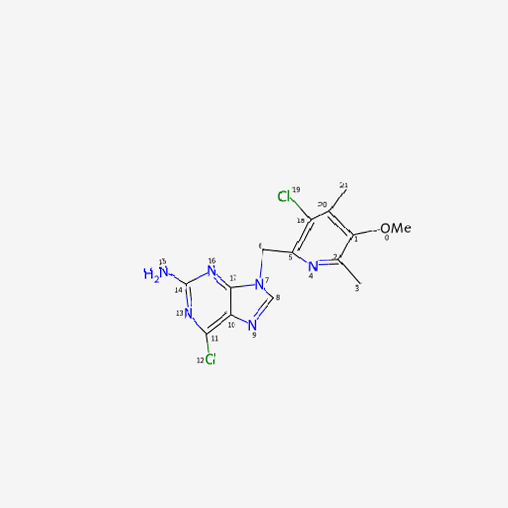 COc1c(C)nc(Cn2cnc3c(Cl)nc(N)nc32)c(Cl)c1C